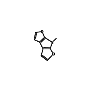 Cn1c2occc2c2ccoc21